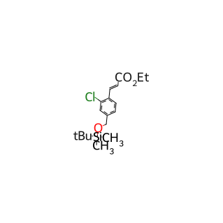 CCOC(=O)/C=C/c1ccc(CO[Si](C)(C)C(C)(C)C)cc1Cl